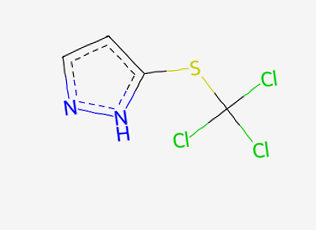 ClC(Cl)(Cl)Sc1ccn[nH]1